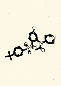 CC(=O)N(c1ccncc1)c1cc(Cl)ccc1NS(=O)(=O)c1ccc(C(C)(C)C)cc1